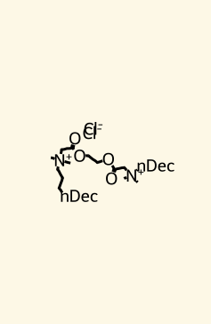 CCCCCCCCCCCCC[N+](C)(C)CC(=O)OCCOC(=O)C[N+](C)(C)CCCCCCCCCC.[Cl-].[Cl-]